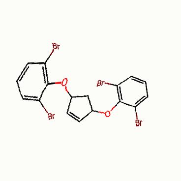 Brc1cccc(Br)c1OC1C=CC(Oc2c(Br)cccc2Br)C1